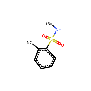 CC(C)(C)NS(=O)(=O)c1ccccc1C#N